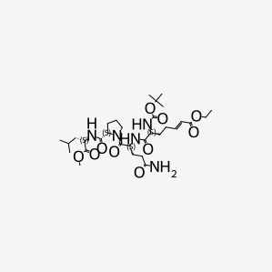 CCOC(=O)C=CCC[C@H](NC(=O)OC(C)(C)C)C(=O)N[C@@H](CCC(N)=O)C(=O)N1CCC[C@H]1C(=O)N[C@@H](CC(C)C)C(=O)OC